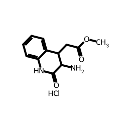 COC(=O)CC1c2ccccc2NC(=O)C1N.Cl